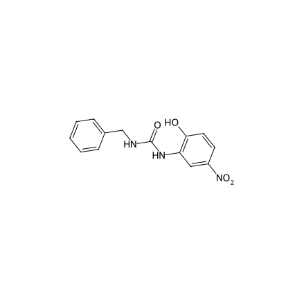 O=C(NCc1ccccc1)Nc1cc([N+](=O)[O-])ccc1O